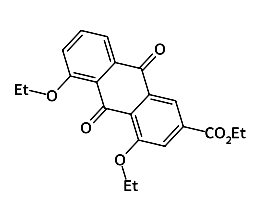 CCOC(=O)c1cc(OCC)c2c(c1)C(=O)c1cccc(OCC)c1C2=O